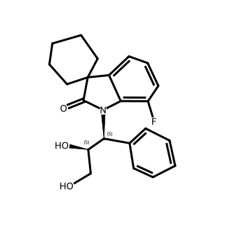 O=C1N([C@@H](c2ccccc2)[C@H](O)CO)c2c(F)cccc2C12CCCCC2